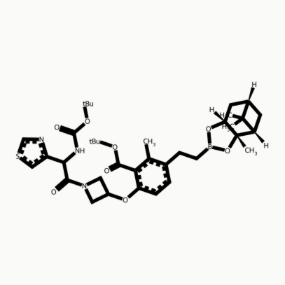 Cc1c(CCB2O[C@@H]3C[C@@H]4C[C@@H](C4(C)C)[C@]3(C)O2)ccc(OC2CN(C(=O)C(NC(=O)OC(C)(C)C)c3cscn3)C2)c1C(=O)OC(C)(C)C